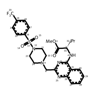 COC(=O)[C@@H](Nc1nc(CN2CCN(S(=O)(=O)c3ccc(C(F)(F)F)cc3)CC2)nc2ccccc12)C(C)C